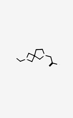 CCN1CC2(CCN(CC(=O)O)C2)C1